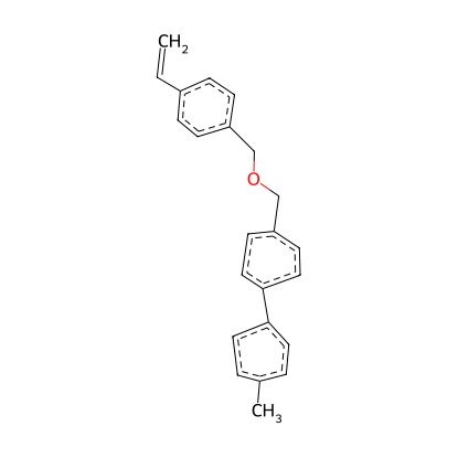 C=Cc1ccc(COCc2ccc(-c3ccc(C)cc3)cc2)cc1